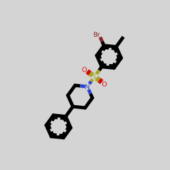 Cc1ccc(S(=O)(=O)N2CCC(c3ccccc3)CC2)cc1Br